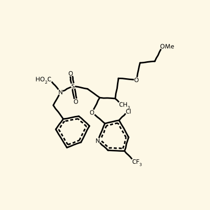 COCCOCC(C)C(CS(=O)(=O)N(Cc1ccccc1)C(=O)O)Oc1ncc(C(F)(F)F)cc1Cl